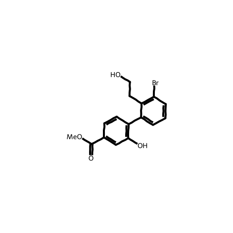 COC(=O)c1ccc(-c2cccc(Br)c2CCO)c(O)c1